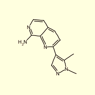 Cc1c(-c2ccc3ccnc(N)c3n2)cnn1C